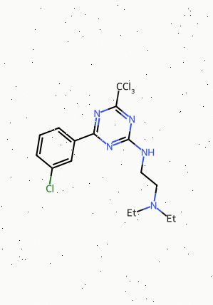 CCN(CC)CCNc1nc(-c2cccc(Cl)c2)nc(C(Cl)(Cl)Cl)n1